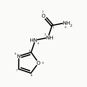 NC(=O)NNc1ncco1